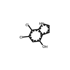 Oc1cc(Cl)c(Cl)c2[nH]ccc12